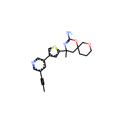 CC#Cc1cncc(-c2csc(C3(C)CC4(CCCOC4)OC(N)=N3)c2)c1